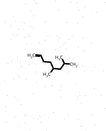 [CH2]C(C)CC(C)C[CH]C=C